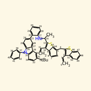 C=Cc1c(Cc2cccc3c(C=C)c(C(C)Nc4ccccc4-c4ccc5c(c4)c4cc(C(C)(C)C)ccc4n5-c4ccccc4)sc23)sc2ccccc12